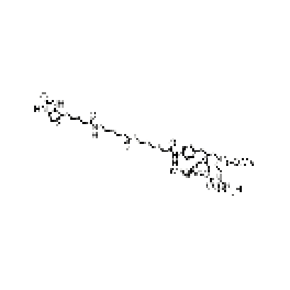 COOCN(CCN(CC(=O)O)CC(=O)O)CC(Cc1ccc(NC(=O)CCCCCNC(=O)CCCCCNC(=O)CCCCC2SCC3NC(=O)NC32)cc1)N(COOC)COOC